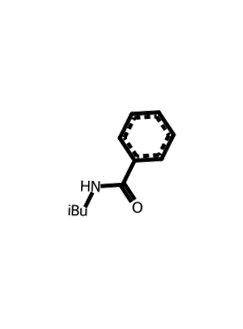 CCC(C)NC(=O)c1ccccc1